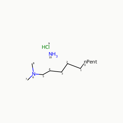 CCCCCCCCCCN(C)C.Cl.N